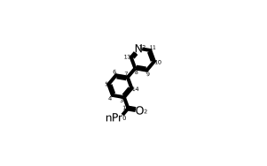 CCCC(=O)c1cccc(-c2cccnc2)c1